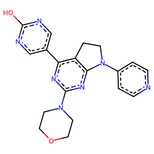 Oc1ncc(-c2nc(N3CCOCC3)nc3c2CCN3c2ccncc2)cn1